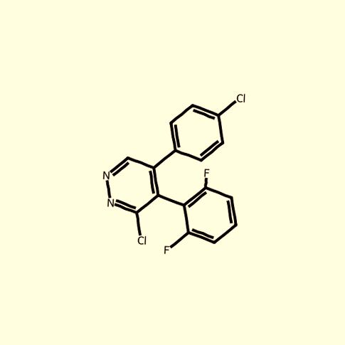 Fc1cccc(F)c1-c1c(-c2ccc(Cl)cc2)cnnc1Cl